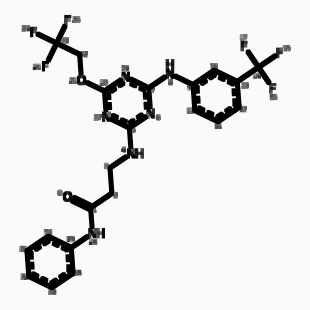 O=C(CCNc1nc(Nc2cccc(C(F)(F)F)c2)nc(OCC(F)(F)F)n1)Nc1ccccc1